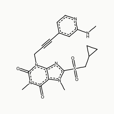 CNc1cc(C#CCn2c(=O)n(C)c(=O)c3c2nc(S(=O)(=O)CC2CC2)n3C)ccn1